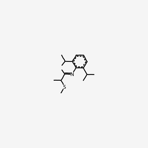 CSC(C)C(C)=Nc1c(C(C)C)cccc1C(C)C